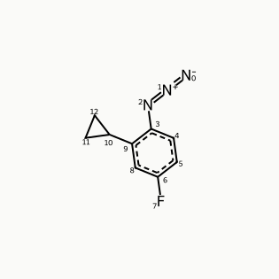 [N-]=[N+]=Nc1ccc(F)cc1C1CC1